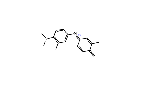 C=C1C=C/C(=N\c2ccc(N(C)C)c(C)c2)C=C1C